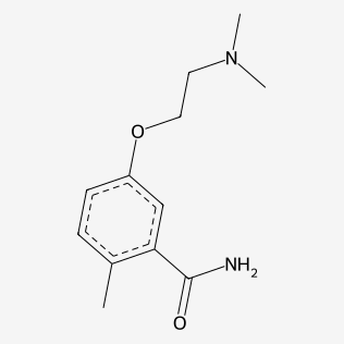 Cc1ccc(OCCN(C)C)cc1C(N)=O